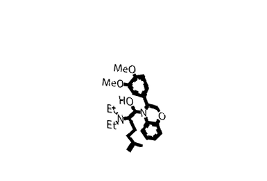 C=C(C)CCC(C(O)N1c2ccccc2OCC1c1ccc(OC)c(OC)c1)N(CC)CC